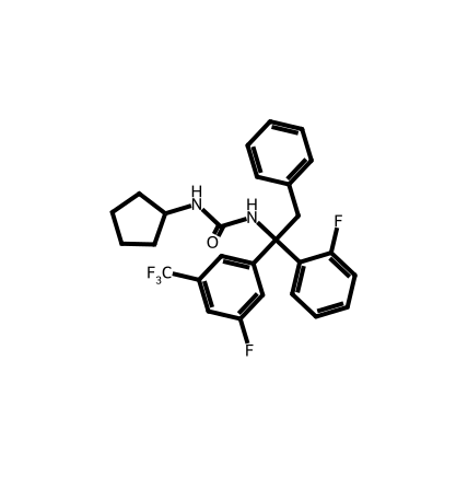 O=C(NC1CCCC1)NC(Cc1ccccc1)(c1cc(F)cc(C(F)(F)F)c1)c1ccccc1F